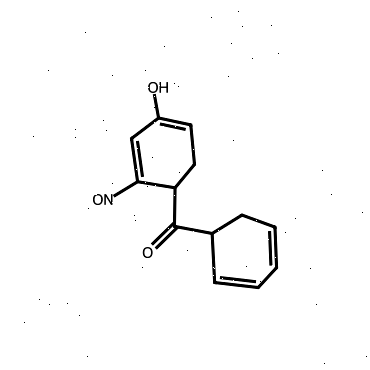 O=NC1=CC(O)=CCC1C(=O)C1C=CC=CC1